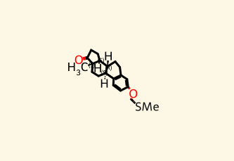 CSCOc1ccc2c(c1)CC[C@@H]1[C@@H]2CC[C@]2(C)C(=O)CC[C@@H]12